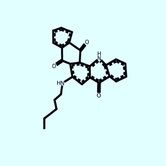 CCCCCNc1cc2c(=O)c3ccccc3[nH]c2c2c1C(=O)c1ccccc1C2=O